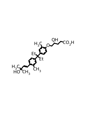 CCC(CC)(c1ccc(C=CC(C)(C)O)c(C)c1)c1ccc(OC[C@H](O)CCC(=O)O)c(C)c1